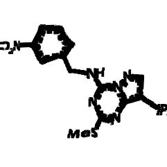 CSc1nc(NCc2cccc([N+](=O)[O-])c2)n2ncc(C(C)C)c2n1